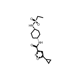 CCS(=O)(=O)N[C@H]1CC[C@H](NC(=O)c2cc(C3CC3)on2)CC1